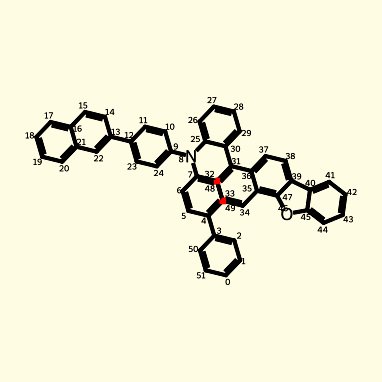 c1ccc(-c2ccc(N(c3ccc(-c4ccc5ccccc5c4)cc3)c3ccccc3-c3cccc4c3ccc3c5ccccc5oc43)cc2)cc1